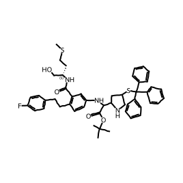 CSCC[C@@H](CO)NC(=O)c1cc(NC(C(=O)OC(C)(C)C)C2CC(SC(c3ccccc3)(c3ccccc3)c3ccccc3)CN2)ccc1CCc1ccc(F)cc1